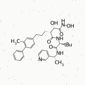 Cc1cc(CCC[C@@H](C(=O)N[C@H](C(=O)N[C@H](C)c2cccnc2)C(C)(C)C)[C@H](O)C(=O)NO)ccc1-c1ccccc1